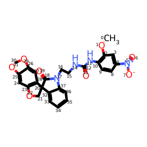 COc1cc([N+](=O)[O-])ccc1NC(=O)NCCN1C(=O)C2(COc3cc4c(cc32)OCO4)c2ccccc21